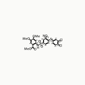 COC(=O)c1cc(OC)c(OC)cc1NS(=O)(=O)c1ccc(Sc2ccc(Cl)c(Cl)c2)c([N+](=O)[O-])c1